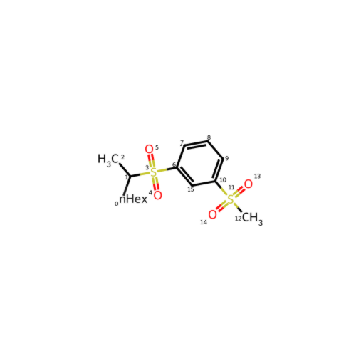 CCCCCCC(C)S(=O)(=O)c1[c]ccc(S(C)(=O)=O)c1